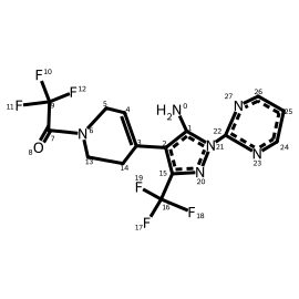 Nc1c(C2=CCN(C(=O)C(F)(F)F)CC2)c(C(F)(F)F)nn1-c1ncccn1